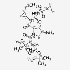 C=CC1CC1N(C(=O)NS(=O)(=O)C1CC1)C(=O)C1CC(N)CN1C(=O)C(NC(=O)OC(C)(C)C)C(C)(C)C